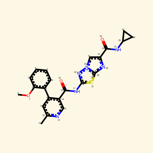 COc1ccccc1-c1cc(C)ncc1C(=O)Nc1nn2cc(C(=O)NC3CC3)nc2s1